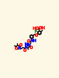 CCC(C)C(=O)N(C=O)CCC(=O)NC(C)C(=O)NCC(=O)Nc1cccc(COc2ccc(C)c(C(O)O)c2F)c1